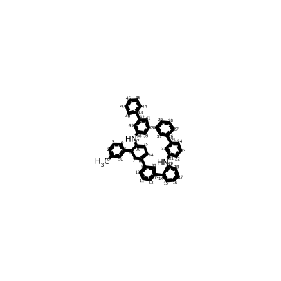 Cc1cccc(C2CC(c3cccc(-c4ccccc4Nc4cccc(-c5ccccc5)c4)c3)=CC=C2Nc2cccc(-c3ccccc3)c2)c1